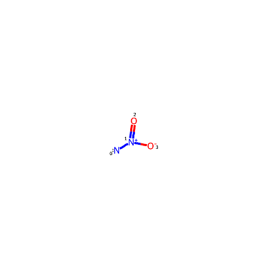 [N][N+](=O)[O-]